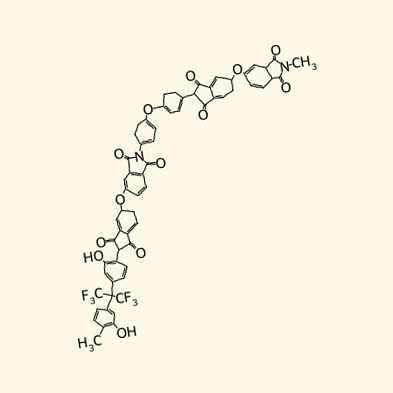 Cc1ccc(C(c2ccc(C3C(=O)C4=CCC(Oc5ccc6c(c5)C(=O)N(C5=CC=C(OC7=CC=C(C8C(=O)C9=CCC(OC%10=CC%11C(=O)N(C)C(=O)C%11C=C%10)C=C9C8=O)CC7)CC5)C6=O)C=C4C3=O)c(O)c2)(C(F)(F)F)C(F)(F)F)cc1O